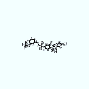 O=S(=O)(CCc1cccc(OC(F)(F)F)c1)c1ccc(S(=O)(=O)Nc2ncc(Cl)s2)c(F)c1